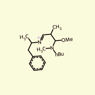 CCCCN(C)C(OC)C(C)/C=N/C(C)Cc1ccccc1